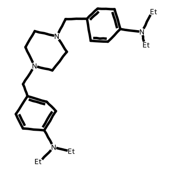 CCN(CC)c1ccc(CN2CCN(Cc3ccc(N(CC)CC)cc3)CC2)cc1